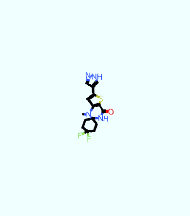 CN1c2cc(-c3cn[nH]c3)sc2C(=O)NC12CCC(F)(F)CC2